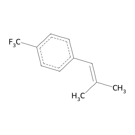 CC(C)=Cc1ccc(C(F)(F)F)cc1